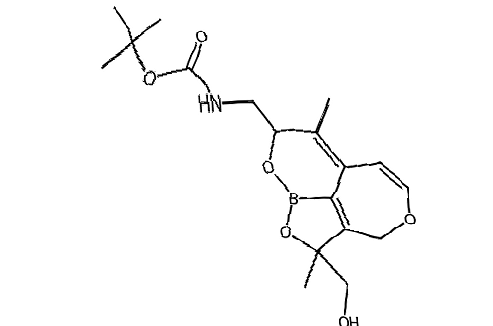 CC1=C2C=COCC3=C2B(OC1CNC(=O)OC(C)(C)C)OC3(C)CO